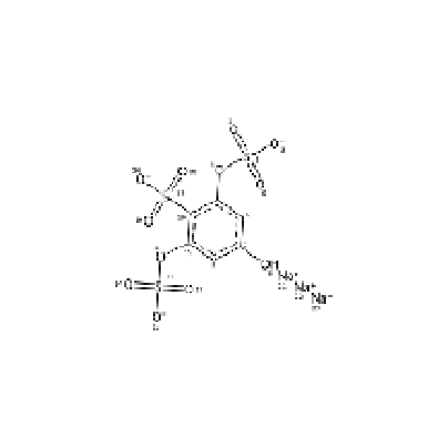 O=S(=O)([O-])Oc1cc(O)cc(OS(=O)(=O)[O-])c1S(=O)(=O)[O-].[Na+].[Na+].[Na+]